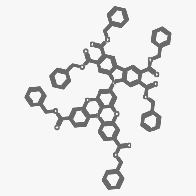 O=C(OCc1ccccc1)c1ccc2c(c1)Oc1cc(-n3c4cc(C(=O)OCc5ccccc5)c(C(=O)OCc5ccccc5)cc4c4cc(C(=O)OCc5ccccc5)c(C(=O)OCc5ccccc5)cc43)cc3c1B2c1ccc(C(=O)OCc2ccccc2)cc1O3